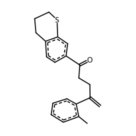 C=C(CCC(=O)c1ccc2c(c1)SCCC2)c1ccccc1C